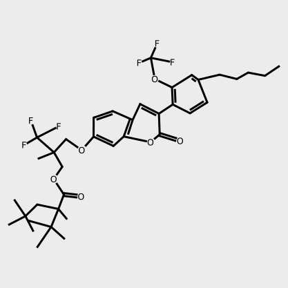 CCCCCc1ccc(-c2cc3ccc(OCC(C)(COC(=O)C(C)(CC(C)(C)C)C(C)(C)C)C(F)(F)F)cc3oc2=O)c(OC(F)(F)F)c1